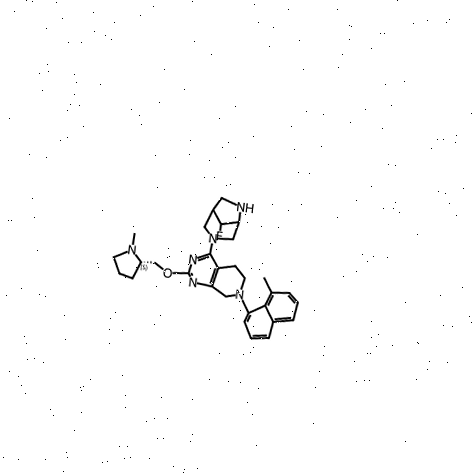 Cc1cccc2cccc(N3CCc4c(nc(OC[C@@H]5CCCN5C)nc4N4CC5CNC(C4)C5F)C3)c12